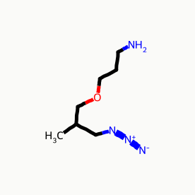 CC(CN=[N+]=[N-])COCCCN